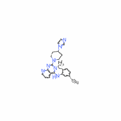 Cc1ccc(C(C)(C)C)cc1Nc1nc(N2CCC(n3ccnc3)CC2)nc2ncccc12